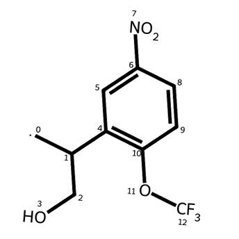 [CH2]C(CO)c1cc([N+](=O)[O-])ccc1OC(F)(F)F